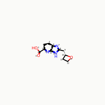 O=C(O)c1ccc2nc(C[C@H]3CCO3)[nH]c2n1